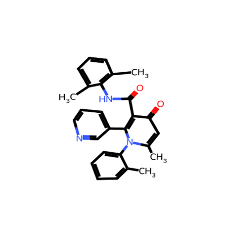 Cc1ccccc1-n1c(C)cc(=O)c(C(=O)Nc2c(C)cccc2C)c1-c1cccnc1